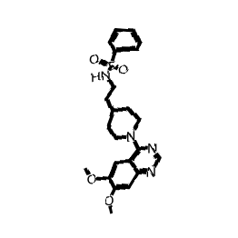 COc1cc2ncnc(N3CCC(CCNS(=O)(=O)c4ccccc4)CC3)c2cc1OC